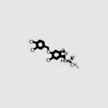 C[S+]([O-])Nc1noc2cc(OCc3ccc(Cl)c(Cl)c3)c(Cl)cc12